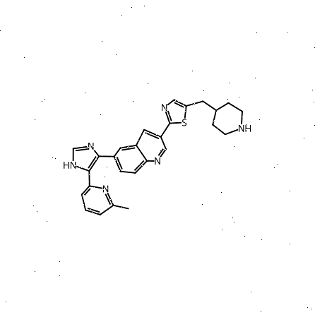 Cc1cccc(-c2[nH]cnc2-c2ccc3ncc(-c4ncc(CC5CCNCC5)s4)cc3c2)n1